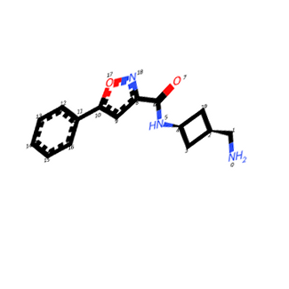 NC[C@H]1C[C@@H](NC(=O)c2cc(-c3ccccc3)on2)C1